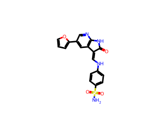 NS(=O)(=O)c1ccc(NC=C2C(=O)Nc3ncc(-c4ccco4)cc32)cc1